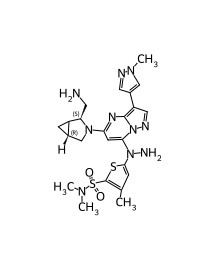 Cc1cc(N(N)c2cc(N3C[C@@H]4CC4[C@H]3CN)nc3c(-c4cnn(C)c4)cnn23)sc1S(=O)(=O)N(C)C